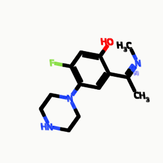 C/N=C(/C)c1cc(N2CCNCC2)c(F)cc1O